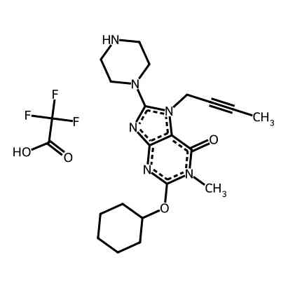 CC#CCn1c(N2CCNCC2)nc2nc(OC3CCCCC3)n(C)c(=O)c21.O=C(O)C(F)(F)F